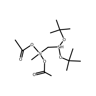 CC(=O)O[Si](C)(C[SiH](OC(C)(C)C)OC(C)(C)C)OC(C)=O